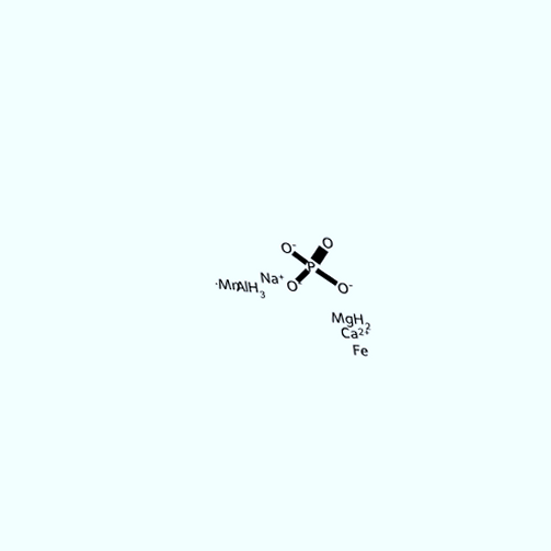 O=P([O-])([O-])[O-].[AlH3].[Ca+2].[Fe].[MgH2].[Mn].[Na+]